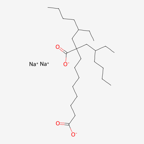 CCCCC(CC)CC(CCCCCCCC(=O)[O-])(CC(CC)CCCC)C(=O)[O-].[Na+].[Na+]